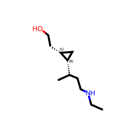 CCNCCC(C)[C@H]1C[C@H]1CCO